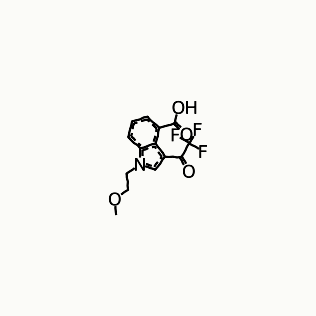 COCCn1cc(C(=O)C(F)(F)F)c2c(C(=O)O)cccc21